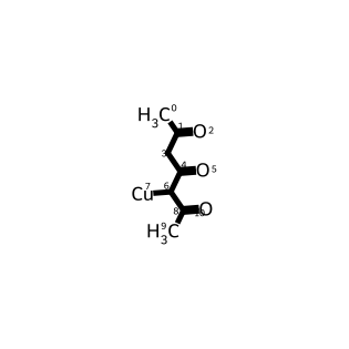 CC(=O)CC(=O)[CH]([Cu])C(C)=O